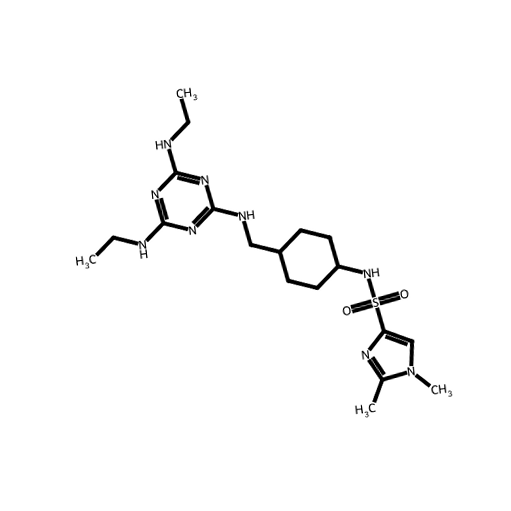 CCNc1nc(NCC)nc(NCC2CCC(NS(=O)(=O)c3cn(C)c(C)n3)CC2)n1